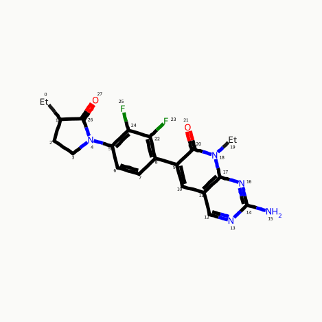 CCC1CCN(c2ccc(-c3cc4cnc(N)nc4n(CC)c3=O)c(F)c2F)C1=O